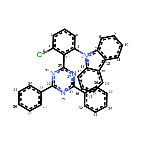 Clc1cccc(-n2c3ccccc3c3ccccc32)c1-c1nc(-c2ccccc2)nc(-c2ccccc2)n1